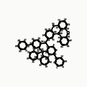 c1ccc(-c2ccc3c(c2)[Si](c2ccccc2)(c2ccccc2)c2cc(-c4ccccc4)ccc2C3c2ccc3c(c2)B2c4ccccc4Oc4cccc(c42)S3)cc1